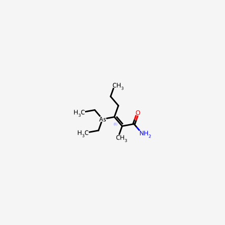 CCC/C(=C(/C)C(N)=O)[As](CC)CC